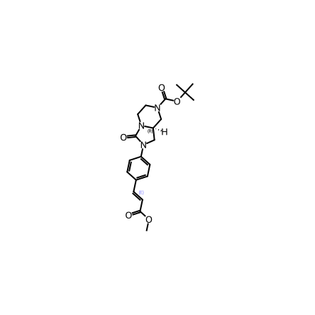 COC(=O)/C=C/c1ccc(N2C[C@@H]3CN(C(=O)OC(C)(C)C)CCN3C2=O)cc1